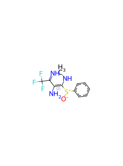 CN/C(=C(/N)C(=N)C(F)(F)F)[S+]([O-])c1ccccc1